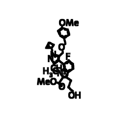 COC(=O)c1c(CCCO)c2ccc(F)c(-c3c(C)nn(C45CC(C4)C5)c3COCc3ccc(OC)cc3)c2n1C